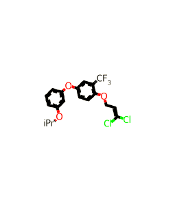 CC(C)Oc1cccc(Oc2ccc(OCC=C(Cl)Cl)c(C(F)(F)F)c2)c1